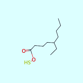 CCCCC(CC)CCCC(=O)OS